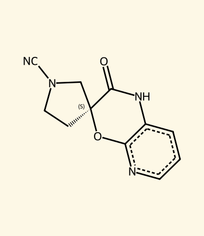 N#CN1CC[C@@]2(C1)Oc1ncccc1NC2=O